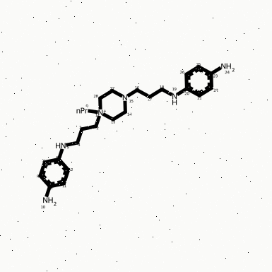 CCC[N+]1(CCCNc2ccc(N)cc2)CCN(CCCNc2ccc(N)cc2)CC1